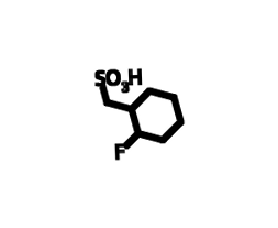 O=S(=O)(O)CC1CCCCC1F